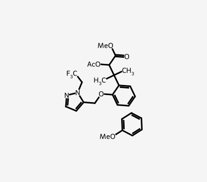 COC(=O)C(OC(C)=O)C(C)(C)c1ccccc1OCc1ccnn1CC(F)(F)F.COc1ccccc1